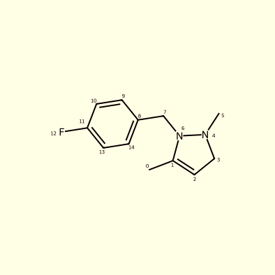 CC1=CCN(C)N1Cc1ccc(F)cc1